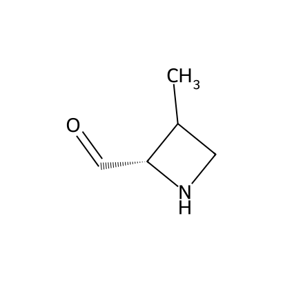 CC1CN[C@@H]1C=O